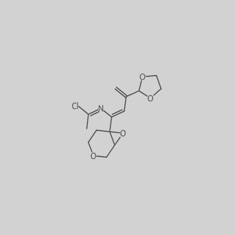 C=C(/C=C(\N=C(/C)Cl)C12CCOCC1O2)C1OCCO1